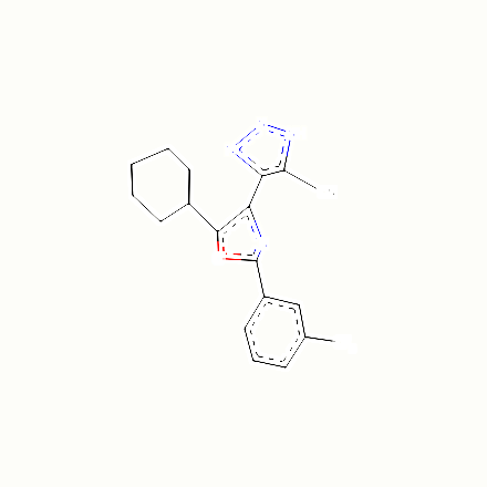 N#Cc1[nH]nnc1-c1nc(-c2cccc(C(F)(F)F)c2)oc1C1CCCCC1